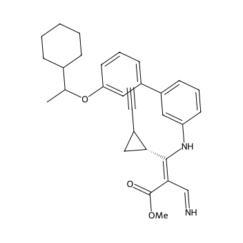 C#CC1C[C@H]1/C(Nc1cccc(-c2cccc(OC(C)C3CCCCC3)c2)c1)=C(/C=N)C(=O)OC